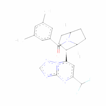 Cc1cc(C)cc(C(=O)N2[C@H]3CC[C@H](c4cc(C(F)F)nc5ncnn45)[C@@H]2CC3)c1